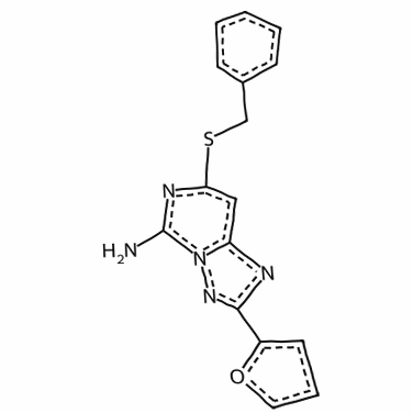 Nc1nc(SCc2ccccc2)cc2nc(-c3ccco3)nn12